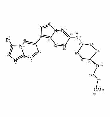 CCc1cnc2ncc(-c3ccn4nc(N[C@H]5CC[C@H](OCCOC)CC5)ncc34)cn12